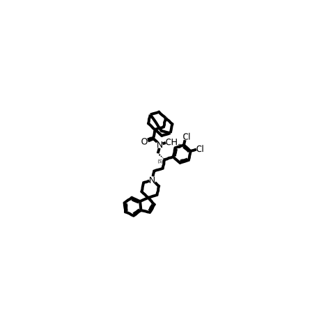 CN(C[C@@H](CCN1CCC2(C=Cc3ccccc32)CC1)c1ccc(Cl)c(Cl)c1)C(=O)C12CC3CC(CC(C3)C1)C2